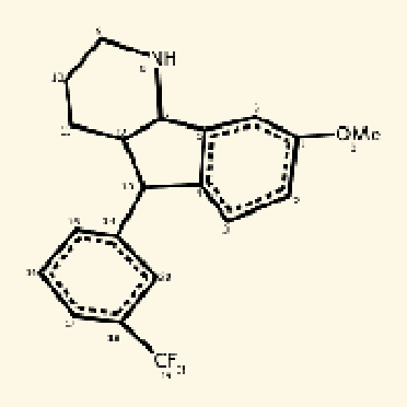 COc1ccc2c(c1)C1NCCCC1C2c1cccc(C(F)(F)F)c1